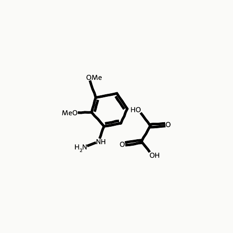 COc1cccc(NN)c1OC.O=C(O)C(=O)O